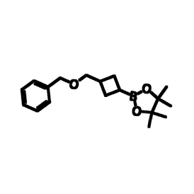 CC1(C)OB(C2CC(COCc3ccccc3)C2)OC1(C)C